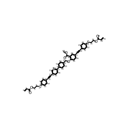 C=CC(=O)OCCSc1ccc(C#Cc2ccc(-c3ccc(COc4ccc(C#Cc5ccc(SCCOC(=O)C=C)cc5)cc4C(=O)OC)cc3)nc2)cc1